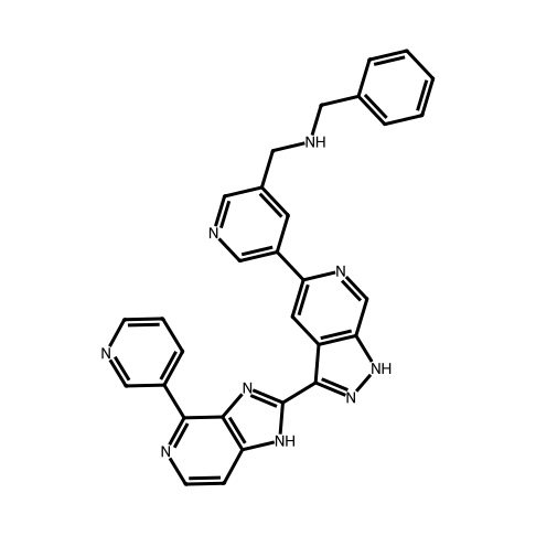 c1ccc(CNCc2cncc(-c3cc4c(-c5nc6c(-c7cccnc7)nccc6[nH]5)n[nH]c4cn3)c2)cc1